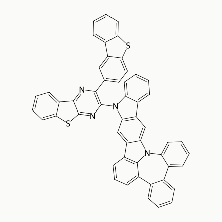 c1ccc2c(c1)-c1ccccc1-n1c3cc4c5ccccc5n(-c5nc6sc7ccccc7c6nc5-c5ccc6sc7ccccc7c6c5)c4cc3c3cccc-2c31